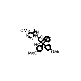 COc1ccc(C(c2ccccc2)(c2ccc(OC)cc2)[C@]2(O)C[C@H](n3nc(I)c4c(OC)ncnc43)O[C@@H]2CO)cc1